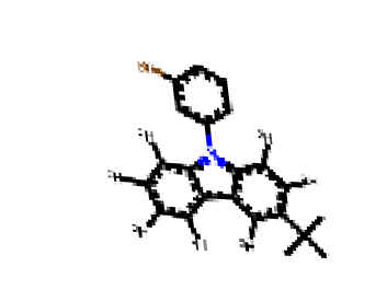 [2H]c1c([2H])c([2H])c2c(c1[2H])c1c([2H])c(C(C)(C)C)c([2H])c([2H])c1n2-c1cccc(Br)c1